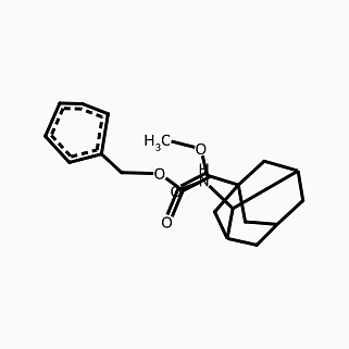 COC(=O)C12CC3CC(C1)C(NC(=O)OCc1ccccc1)C(C3)C2